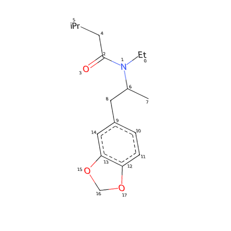 CCN(C(=O)CC(C)C)C(C)Cc1ccc2c(c1)OCO2